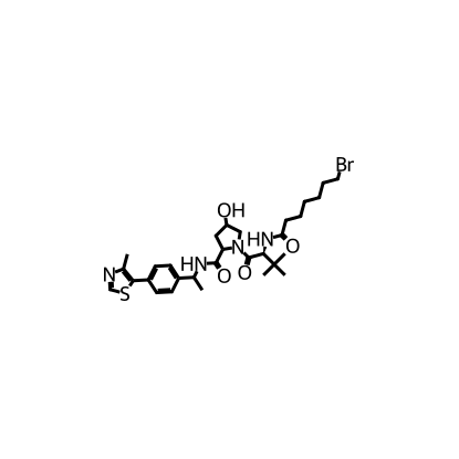 Cc1ncsc1-c1ccc(C(C)NC(=O)C2CC(O)CN2C(=O)[C@@H](NC(=O)CCCCCCBr)C(C)(C)C)cc1